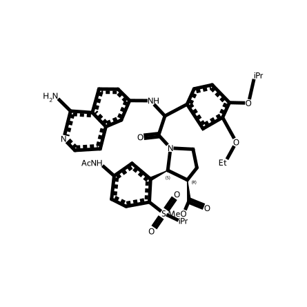 CCOc1cc(C(Nc2ccc3c(N)nccc3c2)C(=O)N2CC[C@@H](C(=O)OC)[C@H]2c2cc(NC(C)=O)ccc2S(=O)(=O)C(C)C)ccc1OC(C)C